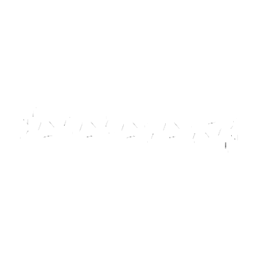 CN1C(=O)c2ccc(C(=O)Oc3ccc(C(=O)Oc4ccc(OC(=O)c5ccc(OC(=O)c6ccc7c(c6)C(=O)NC7=O)cc5)cc4)cc3)cc2C1=O